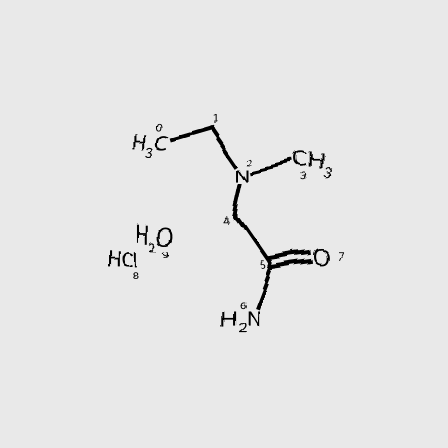 CCN(C)CC(N)=O.Cl.O